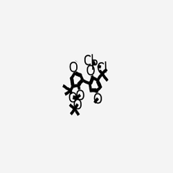 COc1cc(-c2cc(OC)cc(C(C)(C)C)c2OP(Cl)Cl)c(OC(=O)OC(C)(C)C)c(C(C)(C)C)c1